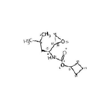 CC(C)C[C@H](NC(=O)OC1CCC1)[C@@H]1CO1